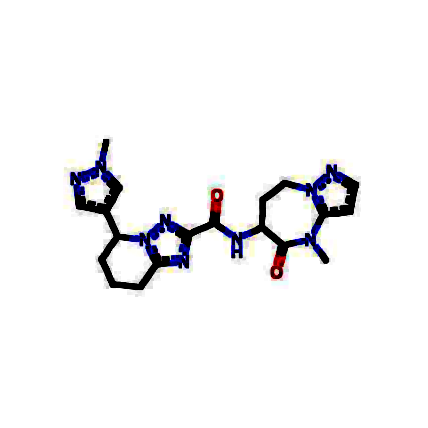 CN1C(=O)C(NC(=O)c2nc3n(n2)C(c2cnn(C)c2)CCC3)CCn2nccc21